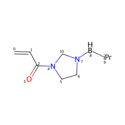 C=CC(=O)N1CCN(BC(C)C)C1